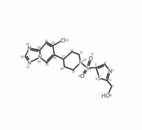 O=S(=O)(c1cnc(CO)s1)N1CCC(c2cn3ncnc3cc2Cl)CC1